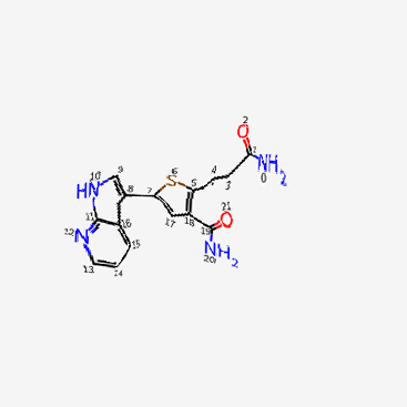 NC(=O)C[CH]c1sc(-c2c[nH]c3ncccc23)cc1C(N)=O